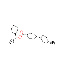 CCCC1CCC(C2CCC(C(=O)OC(CC)C3CCCCC3)CC2)CC1